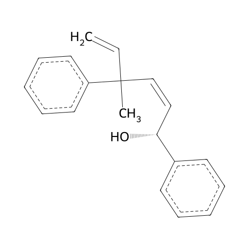 C=CC(C)(/C=C\[C@@H](O)c1ccccc1)c1ccccc1